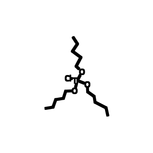 CCCCC[O][Ti]([Cl])([O]CCCCC)[O]CCCCC